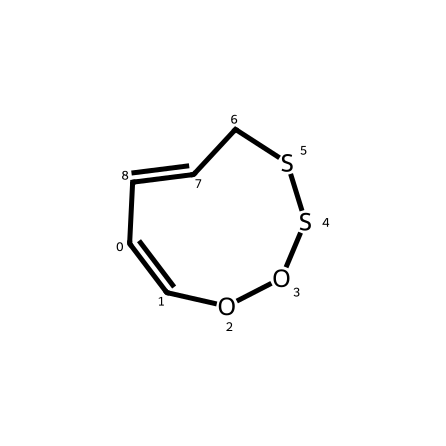 C1=C\OOSSC/C=C/1